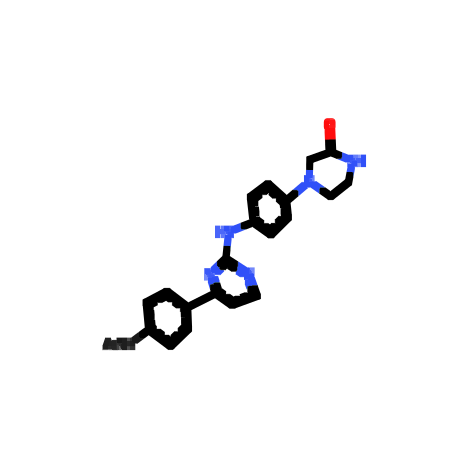 CC(=O)Nc1ccc(-c2ccnc(Nc3ccc(N4CCNC(=O)C4)cc3)n2)cc1